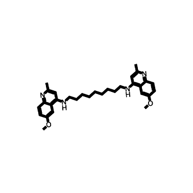 COc1ccc2nc(C)cc(NCCCCCCCCCNc3cc(C)nc4ccc(OC)cc34)c2c1